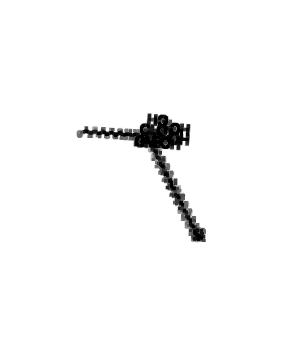 CCCCCCCCCCCCCC[C@@H](O)[C@@H](O)[C@H](CO[C@H]1O[C@H](CO)[C@H](O)[C@H](O)[C@H]1O)NC(=O)CCCCCCCCCCCCCCCCCCCCCCC[Si](C)(C)C